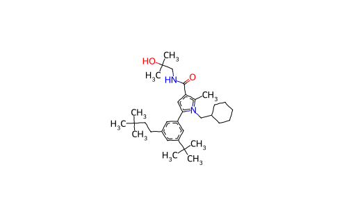 Cc1c(C(=O)NCC(C)(C)O)cc(-c2cc(CCC(C)(C)C)cc(C(C)(C)C)c2)n1CC1CCCCC1